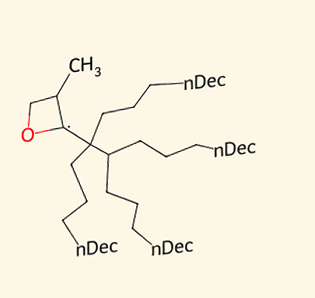 CCCCCCCCCCCCCC(CCCCCCCCCCCCC)C(CCCCCCCCCCCCC)(CCCCCCCCCCCCC)[C]1OCC1C